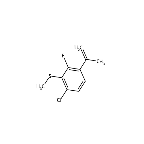 C=C(C)c1ccc(Cl)c(SC)c1F